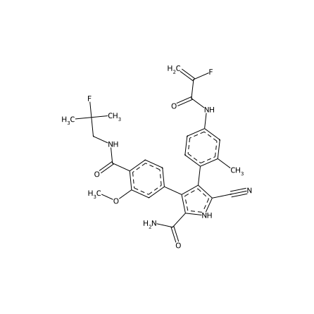 C=C(F)C(=O)Nc1ccc(-c2c(C#N)[nH]c(C(N)=O)c2-c2ccc(C(=O)NCC(C)(C)F)c(OC)c2)c(C)c1